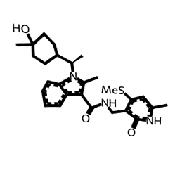 CSc1cc(C)[nH]c(=O)c1CNC(=O)c1c(C)n([C@H](C)C2CCC(C)(O)CC2)c2ccccc12